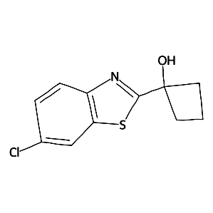 OC1(c2nc3ccc(Cl)cc3s2)CCC1